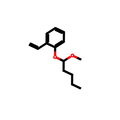 C=Cc1ccccc1OC(CCCC)OC